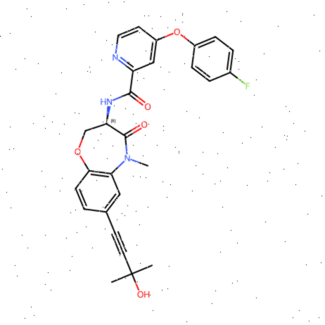 CN1C(=O)[C@H](NC(=O)c2cc(Oc3ccc(F)cc3)ccn2)COc2ccc(C#CC(C)(C)O)cc21